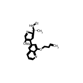 C=CCCOc1cc(-c2cc([C@@H](C)NCC)ncc2OC)cc2cccnc12